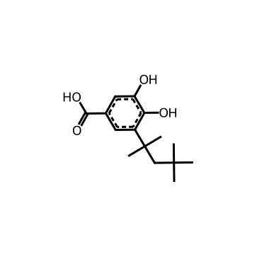 CC(C)(C)CC(C)(C)c1cc(C(=O)O)cc(O)c1O